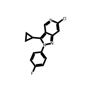 Fc1ccc(-n2nc3cc(Cl)ncc3c2C2CC2)cc1